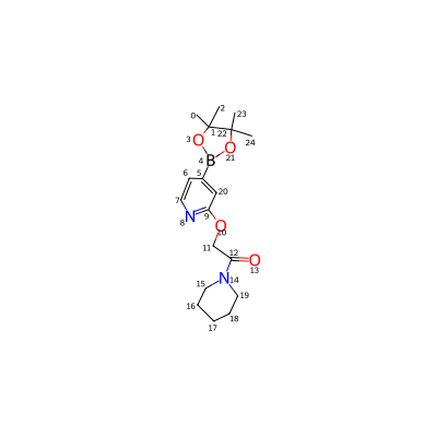 CC1(C)OB(c2ccnc(OCC(=O)N3CCCCC3)c2)OC1(C)C